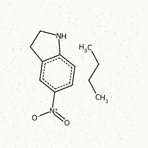 CCCC.O=[N+]([O-])c1ccc2c(c1)CCN2